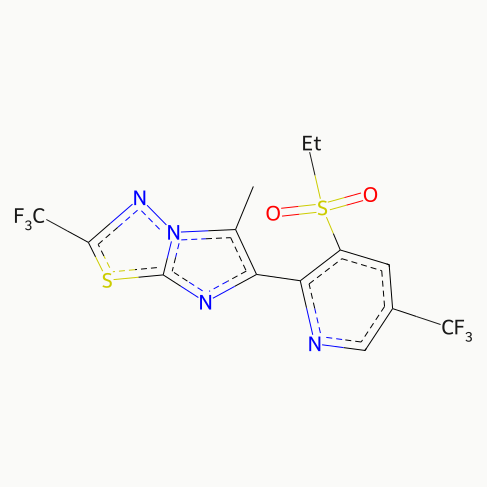 CCS(=O)(=O)c1cc(C(F)(F)F)cnc1-c1nc2sc(C(F)(F)F)nn2c1C